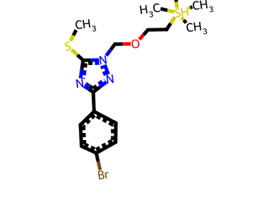 CSc1nc(-c2ccc(Br)cc2)nn1COCC[SH](C)(C)(C)C